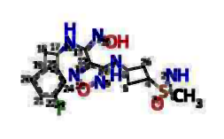 CS(=N)(=O)C1CC(Nc2nonc2/C(=N\O)N[C@@H]2Cc3ccc(F)cc32)C1